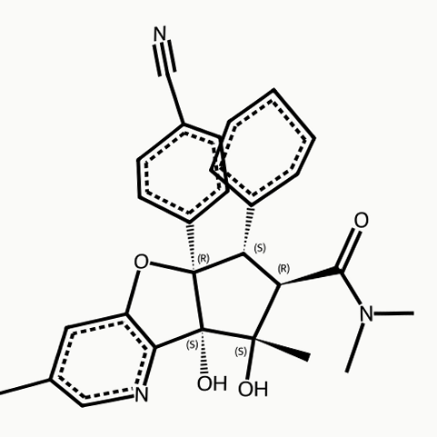 CN(C)C(=O)[C@@H]1[C@@H](c2ccccc2)[C@]2(c3ccc(C#N)cc3)Oc3cc(Cl)cnc3[C@]2(O)[C@@]1(C)O